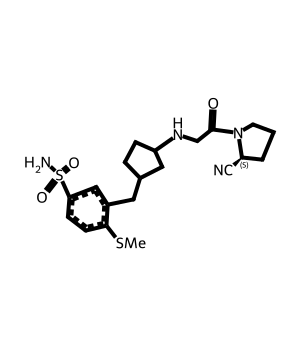 CSc1ccc(S(N)(=O)=O)cc1CC1CCC(NCC(=O)N2CCC[C@H]2C#N)C1